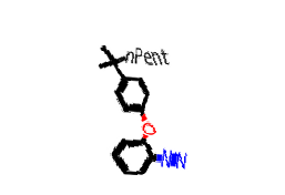 CCCCCC(C)(C)c1ccc(Oc2ccccc2[N+]#N)cc1